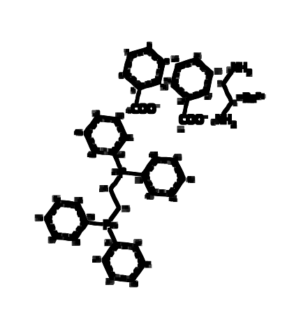 NCCN.O=C([O-])c1ccccc1.O=C([O-])c1ccccc1.[Ru+2].c1ccc(P(CCP(c2ccccc2)c2ccccc2)c2ccccc2)cc1